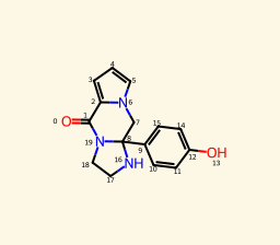 O=C1c2cccn2CC2(c3ccc(O)cc3)NCCN12